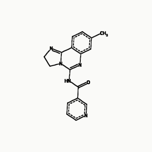 Cc1ccc2c(c1)N=C(NC(=O)c1cccnc1)N1CCN=C21